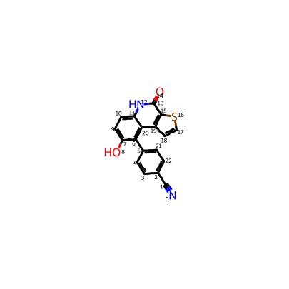 N#Cc1ccc(-c2c(O)ccc3[nH]c(=O)c4sccc4c23)cc1